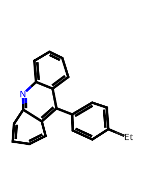 CCc1ccc(-c2c3ccccc3nc3ccccc23)cc1